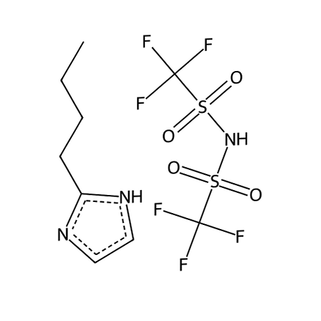 CCCCc1ncc[nH]1.O=S(=O)(NS(=O)(=O)C(F)(F)F)C(F)(F)F